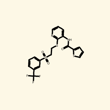 O=C(Nc1cccnc1SCCS(=O)(=O)c1cccc(C(F)(F)F)c1)c1cccs1